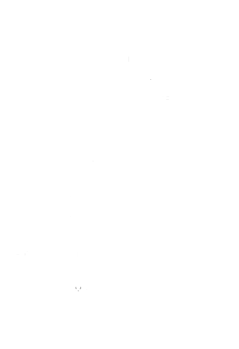 COCC(COCCOCCOCC(COC(F)(F)F)(C(F)(F)F)C(F)(F)F)(C(F)(F)F)C(F)(F)F